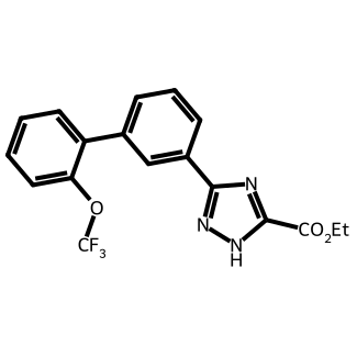 CCOC(=O)c1nc(-c2cccc(-c3ccccc3OC(F)(F)F)c2)n[nH]1